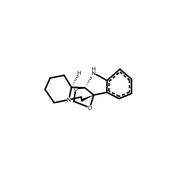 c1ccc2c(c1)N[C@@]13OCO[C@@]21CCN1CCCC[C@H]13